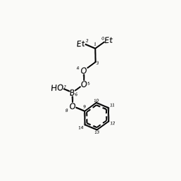 CCC(CC)COOB(O)Oc1ccccc1